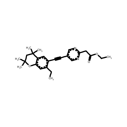 CCOC(=O)Cc1ncc(C#Cc2cc3c(cc2CC)OC(C)(C)CC3(C)C)cn1